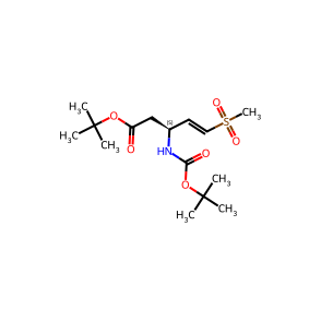 CC(C)(C)OC(=O)C[C@@H](C=CS(C)(=O)=O)NC(=O)OC(C)(C)C